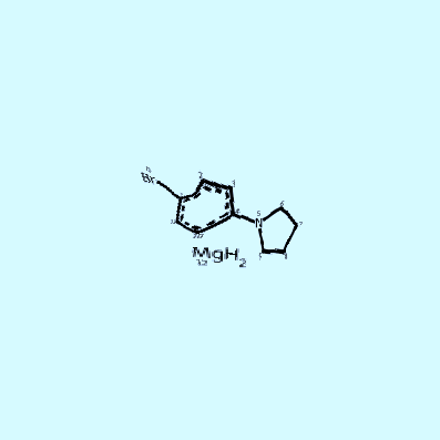 Brc1ccc(N2CCCC2)cc1.[MgH2]